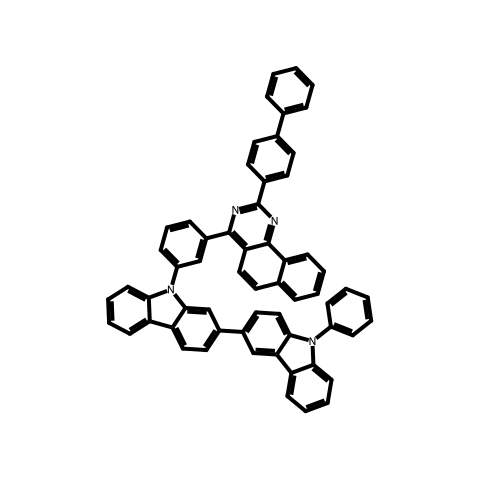 c1ccc(-c2ccc(-c3nc(-c4cccc(-n5c6ccccc6c6ccc(-c7ccc8c(c7)c7ccccc7n8-c7ccccc7)cc65)c4)c4ccc5ccccc5c4n3)cc2)cc1